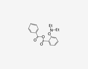 CCN(CC)Oc1ccccc1C(=O)OC(=O)c1ccccc1